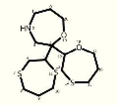 C1CNCC([C]2CSCCCS2)(C2CSCCCO2)OC1